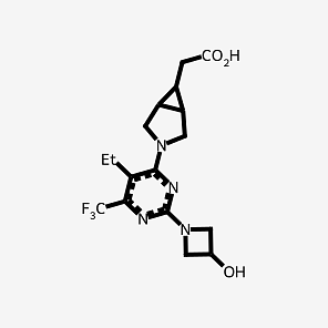 CCc1c(N2CC3C(CC(=O)O)C3C2)nc(N2CC(O)C2)nc1C(F)(F)F